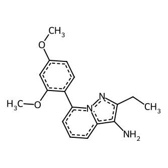 CCc1nn2c(-c3ccc(OC)cc3OC)cccc2c1N